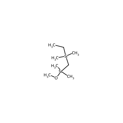 CC[Si](C)(C)C[Si](C)(C)OC